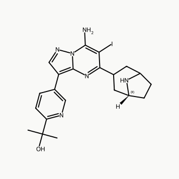 CC(C)(O)c1ccc(-c2cnn3c(N)c(I)c(C4CC5CC[C@H](C4)N5)nc23)cn1